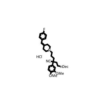 CCCCCCCCCCCCC(C#N)(CCCN1CCC(=Cc2ccc(F)cc2)CC1)c1ccc(OC)c(OC)c1.Cl